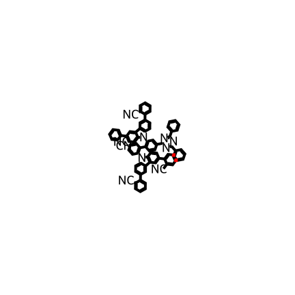 N#Cc1ccc(-n2c3ccc(-c4ccccc4C#N)cc3c3cc(-c4ccccc4C#N)ccc32)c(-c2ccc(-c3nc(-c4ccccc4)nc(-c4ccccc4)n3)cc2-n2c3ccc(-c4ccccc4C#N)cc3c3cc(-c4ccccc4C#N)ccc32)c1